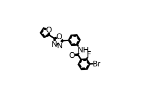 O=C(Nc1cccc(-c2nnc(-c3ccco3)o2)c1)c1cccc(Br)c1F